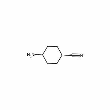 N#C[C@H]1CC[C@@H](N)CC1